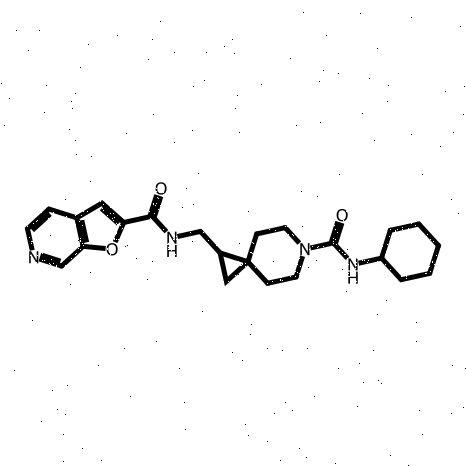 O=C(NCC1CC12CCN(C(=O)NC1CCCCC1)CC2)c1cc2ccncc2o1